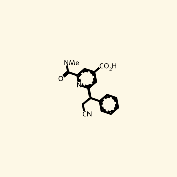 CNC(=O)c1cc(C(=O)O)cc(C(CC#N)c2ccccc2)n1